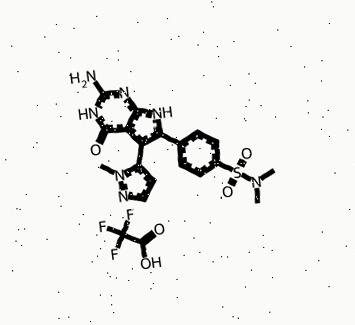 CN(C)S(=O)(=O)c1ccc(-c2[nH]c3nc(N)[nH]c(=O)c3c2-c2ccnn2C)cc1.O=C(O)C(F)(F)F